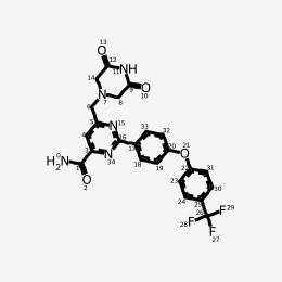 NC(=O)c1cc(CN2CC(=O)NC(=O)C2)nc(-c2ccc(Oc3ccc(C(F)(F)F)cc3)cc2)n1